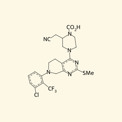 CSc1nc2c(c(N3CCN(C(=O)O)C(CC#N)C3)n1)CCN(c1cccc(Cl)c1C(F)(F)F)C2